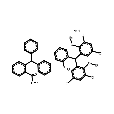 CCOc1c(Cl)cc(Cl)cc1C(c1ccccc1S(=O)(=O)O)c1cc(Cl)cc(Cl)c1OCC.COC(=O)c1ccccc1C(c1ccccc1)c1ccccc1.[NaH]